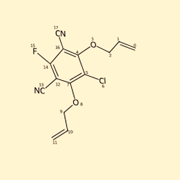 C=CCOc1c(Cl)c(OCC=C)c(C#N)c(F)c1C#N